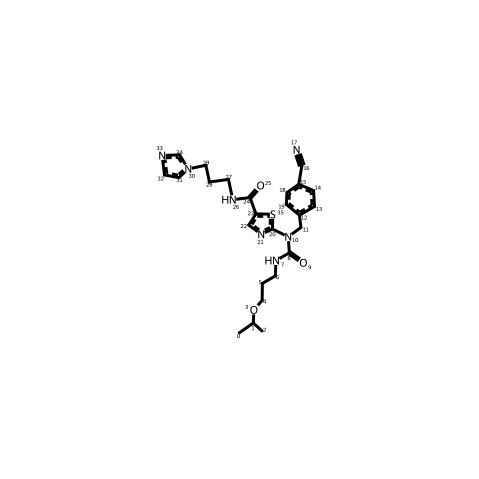 CC(C)OCCCNC(=O)N(Cc1ccc(C#N)cc1)c1ncc(C(=O)NCCCn2ccnc2)s1